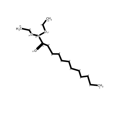 CCCCCCCCCCCC(=O)N(OCC)OCC